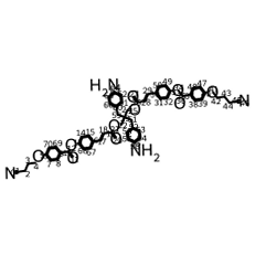 N#CCCCOc1ccc(C(=O)Oc2ccc(/C=C/C(=O)OCC(COC(=O)/C=C/c3ccc(OC(=O)c4ccc(OCCCC#N)cc4)cc3)(Cc3ccc(N)cc3)Cc3ccc(N)cc3)cc2)cc1